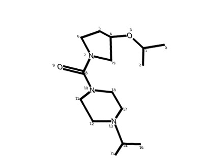 CC(C)OC1CCN(C(=O)N2CCN(C(C)C)CC2)C1